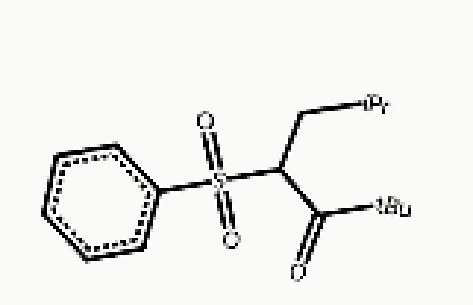 CC(C)CC(C(=O)C(C)(C)C)S(=O)(=O)c1ccccc1